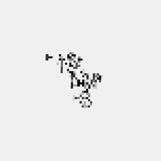 CNC(=O)[C@]1(C(F)(F)F)CC[C@@H](Nc2ncc3c(Br)nn(-c4cc(F)c5ncccc5c4)c3n2)C1